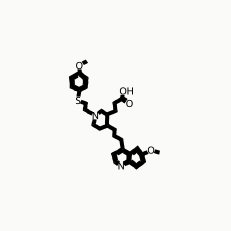 COc1ccc(SCCN2CCC(CCCc3ccnc4ccc(OC)cc34)C(CCC(=O)O)C2)cc1